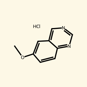 COc1ccc2ncncc2c1.Cl